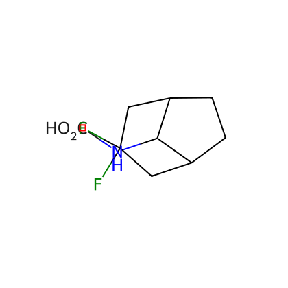 O=C(O)NC1C2CCC1CC(F)(F)C2